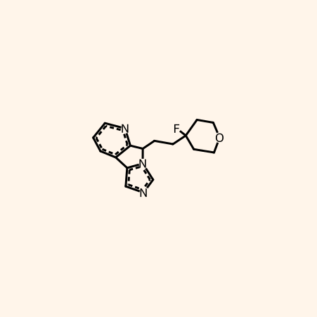 FC1(CCC2c3ncccc3-c3cncn32)CCOCC1